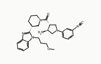 [C-]#[N+]c1cccc(N2C[C@@H](N)[C@H](C(=O)N3CCC[C@@H](c4nc5ccccc5n4CCCOC)C3)C2)c1